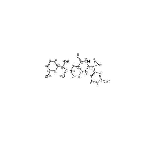 CC(C)c1cncc(C2(c3nc4c(c(=O)[nH]3)CN(C(=O)[C@H](O)c3cccc(Br)c3)CC4)CC2)c1